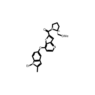 CCn1c(C)cc2cc(Oc3ccnc4cc(C(=O)N5CCC[C@@H]5COC)sc34)ccc21